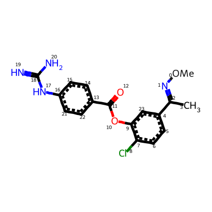 CON=C(C)c1ccc(Cl)c(OC(=O)c2ccc(NC(=N)N)cc2)c1